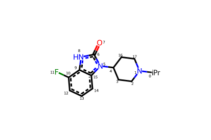 CC(C)N1CCC(n2c(=O)[nH]c3c(F)cccc32)CC1